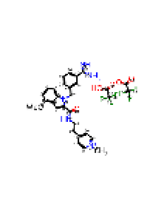 COc1cccc2c1cc(C(=O)NCCc1cc[n+](C)cc1)n2Cc1cccc(C(=N)N)c1.O=C(O)C(F)(F)F.O=C([O-])C(F)(F)F